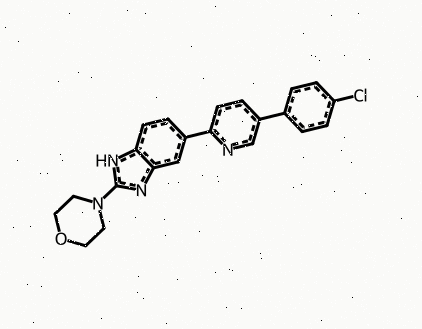 Clc1ccc(-c2ccc(-c3ccc4[nH]c(N5CCOCC5)nc4c3)nc2)cc1